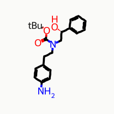 CC(C)(C)OC(=O)N(CCc1ccc(N)cc1)C[C@H](O)c1ccccc1